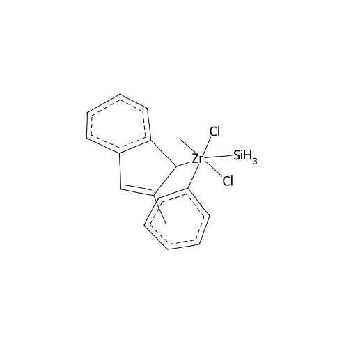 CC1=Cc2ccccc2[CH]1[Zr]([CH3])([SiH3])([Cl])([Cl])[c]1ccccc1